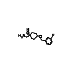 NCC1(O)CCC(OCc2cccc(F)c2)CC1